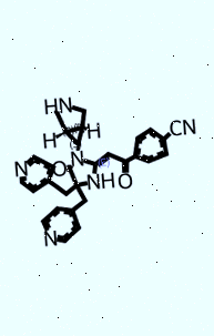 N#Cc1ccc(C(=O)/C=C2\NC(Cc3ccncc3)(Cc3ccncc3)C(=O)N2[C@H]2[C@@H]3CNC[C@@H]32)cc1